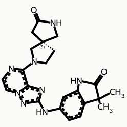 CC1(C)C(=O)Nc2cc(Nc3nc4c(N5CC[C@]6(CNC(=O)C6)C5)nccn4n3)ccc21